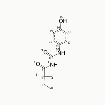 CCC(C)(C)C(=O)NC(=O)Nc1ccc(O)cc1